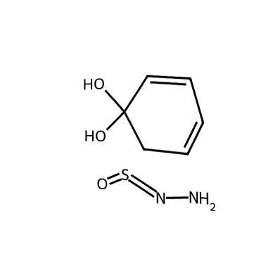 NN=S=O.OC1(O)C=CC=CC1